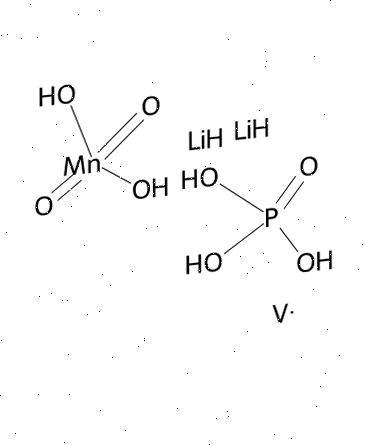 O=P(O)(O)O.[LiH].[LiH].[O]=[Mn](=[O])([OH])[OH].[V]